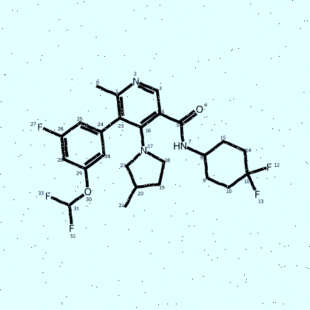 Cc1ncc(C(=O)NC2CCC(F)(F)CC2)c(N2CCC(C)C2)c1-c1cc(F)cc(OC(F)F)c1